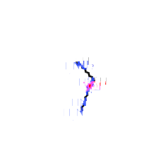 C=C(N)NCCCCCCC(=C)NC(O)C(=O)NCCCCNCCCN